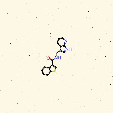 O=C(NCc1c[nH]c2ncccc12)c1csc2ccccc12